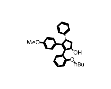 CCCCOc1ccccc1C1=C(c2ccc(OC)cc2)[C@H](c2ccccc2)C[C@H]1O